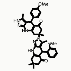 COc1ccc(C2C3=C(CC(C)(n4nc5c(c4C)C(c4ccccc4SC)C4=C(CC(C)(C)CC4=O)N5)CC3=O)Nc3n[nH]c(C)c32)cc1